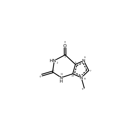 C=C1NC(=O)c2ncn(C)c2N1